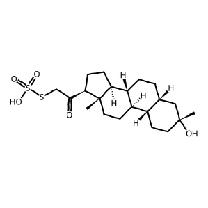 C[C@@]1(O)CC[C@H]2[C@H](CC[C@@H]3[C@@H]2CC[C@]2(C)[C@@H](C(=O)CSS(=O)(=O)O)CC[C@@H]32)C1